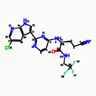 N#CCC[C@H](Nc1ccnc(-c2c[nH]c3ncc(Cl)cc23)n1)C(=O)NCC(F)(F)F